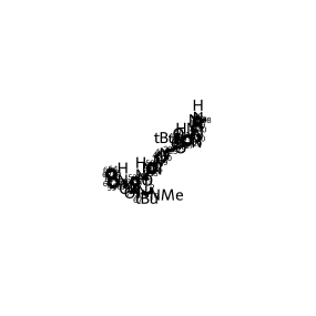 CN[C@@H](C)CN[C@H](C(=O)N1C[C@@H](NC(=O)c2cnc(N3CCN(CCCOc4cc5ncnc(Nc6n[nH]c(C)c6C)c5cc4S(=O)(=O)C(C)(C)C)CC3)cn2)C[C@H]1C(=O)N[C@@H]1CCCc2ccccc21)C(C)(C)C